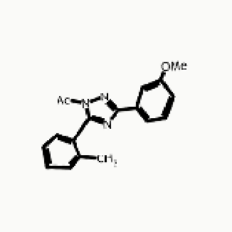 COc1cccc(-c2nc(-c3ccccc3C)n(C(C)=O)n2)c1